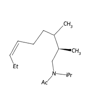 CC/C=C\CCC(C)[C@@H](C)CN(C(C)=O)C(C)C